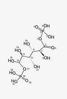 O=C(OP(=O)(O)O)[C@@H](O)[C@@H](O)[C@H](O)[C@H](O)C(O)OP(=O)(O)O